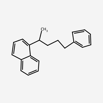 C[C](CCCc1ccccc1)c1cccc2ccccc12